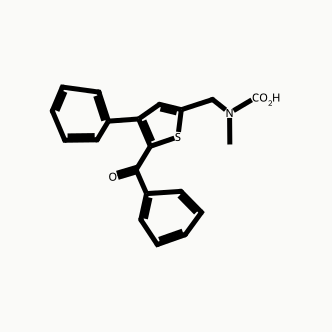 CN(Cc1cc(-c2ccccc2)c(C(=O)c2ccccc2)s1)C(=O)O